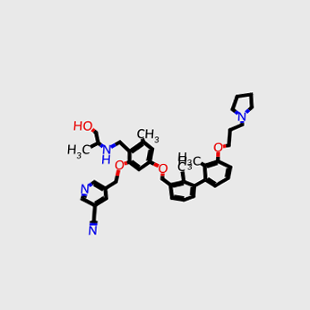 Cc1cc(OCc2cccc(-c3cccc(OCCCN4CCCC4)c3C)c2C)cc(OCc2cncc(C#N)c2)c1CNC(C)CO